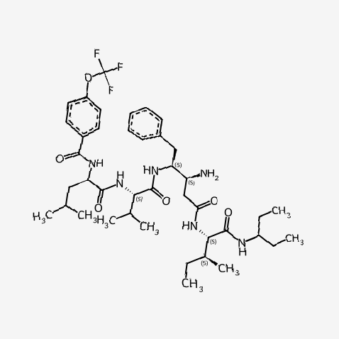 CCC(CC)NC(=O)[C@@H](NC(=O)C[C@H](N)[C@H](Cc1ccccc1)NC(=O)[C@@H](NC(=O)C(CC(C)C)NC(=O)c1ccc(OC(F)(F)F)cc1)C(C)C)[C@@H](C)CC